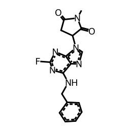 CN1C(=O)CC(n2cnc3c(NCc4ccccc4)nc(F)nc32)C1=O